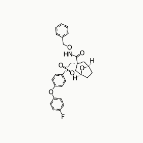 O=C(NOCc1ccccc1)[C@@]1(CS(=O)(=O)c2ccc(Oc3ccc(F)cc3)cc2)C[C@H]2CC[C@@H](C1)O2